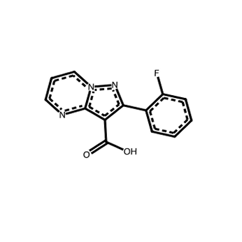 O=C(O)c1c(-c2ccccc2F)nn2cccnc12